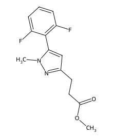 COC(=O)CCc1cc(-c2c(F)cccc2F)n(C)n1